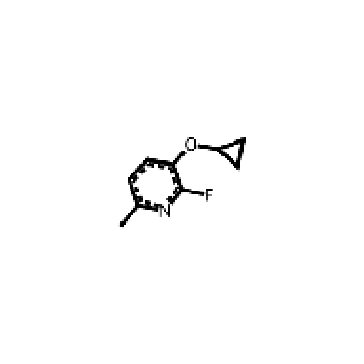 Cc1ccc(OC2CC2)c(F)n1